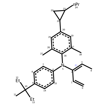 C=C/C(=C\C)N(c1ccc(C(C)(CC)CC)cc1)c1c(C)cc(C2CC2CCC)cc1C